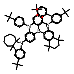 CC(C)(C)c1ccc(N2c3cc(N4c5ccc(C(C)(C)C)cc5C5(C)CCCCCC45C)ccc3B3c4cc5c(cc4N(c4ccc(C(C)(C)C)cc4-c4ccccc4)c4cc(C(C)(C)C)cc2c43)C(C)(C)CCC5(C)C)cc1